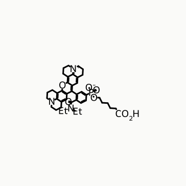 CCN(CC)C(=O)c1ccc(P(=O)([O-])OCCCCCC(=O)O)cc1C1=c2cc3c4c(c2Oc2c1cc1c5c2CCCN5CCC1)CCC[N+]=4CCC3